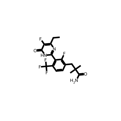 CCc1nc(-c2c(C(F)(F)F)ccc(CC(C)(C)C(N)=O)c2F)[nH]c(=O)c1F